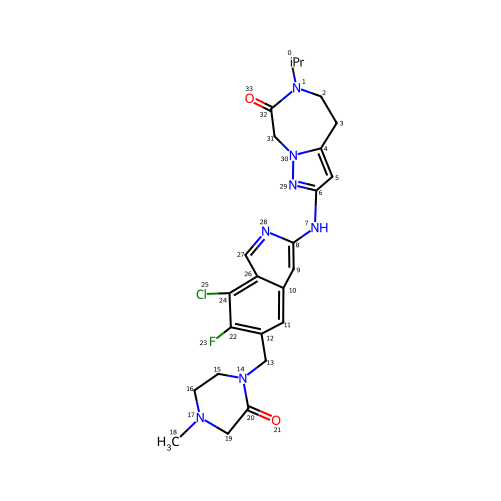 CC(C)N1CCc2cc(Nc3cc4cc(CN5CCN(C)CC5=O)c(F)c(Cl)c4cn3)nn2CC1=O